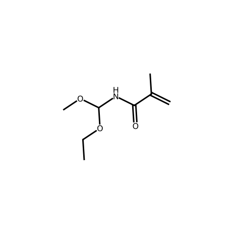 C=C(C)C(=O)NC(OC)OCC